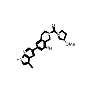 [2H]c1cc(-c2cnc3[nH]cc(C)c3c2)cc2c1CN(C(=O)N1CC[C@H](OC)C1)CC2